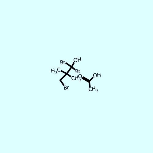 CC(=O)O.CC(C)(CBr)C(O)(Br)Br